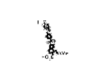 COCCC1c2ccc(NC(=O)c3ccc(C=NN4CCN(C)CC4)cc3)cc2CCC1CC(=O)O